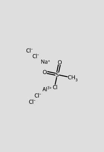 CS(=O)(=O)Cl.[Al+3].[Cl-].[Cl-].[Cl-].[Cl-].[Na+]